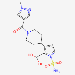 Cn1cc(C(=O)N2CCC(c3ccn(S(N)(=O)=O)c3C(O)O)CC2)cn1